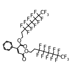 O=C(C=C(C(=O)OCCC(F)(F)C(F)(F)C(F)(F)C(F)(F)C(F)(F)C(F)(F)F)c1ccccc1)OCCC(F)(F)C(F)(F)C(F)(F)C(F)(F)C(F)(F)C(F)(F)F